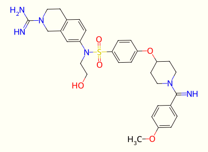 COc1ccc(C(=N)N2CCC(Oc3ccc(S(=O)(=O)N(CCO)c4ccc5c(c4)CN(C(=N)N)CC5)cc3)CC2)cc1